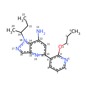 CCCOc1ncccc1-c1cc(N)c2c(cnn2C(C)CC)n1